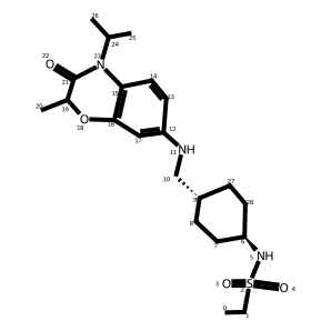 CCS(=O)(=O)N[C@H]1CC[C@H](CNc2ccc3c(c2)OC(C)C(=O)N3C(C)C)CC1